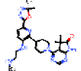 CC(C)(C)NCCNc1ccc(C2=NN[C@](C)(C(F)(F)F)O2)nc1C1CCN(c2ncnc3c2C(C)(C)C(=O)N3)CC1